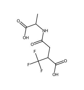 CC(NC(=O)CC(C(=O)O)C(F)(F)F)C(=O)O